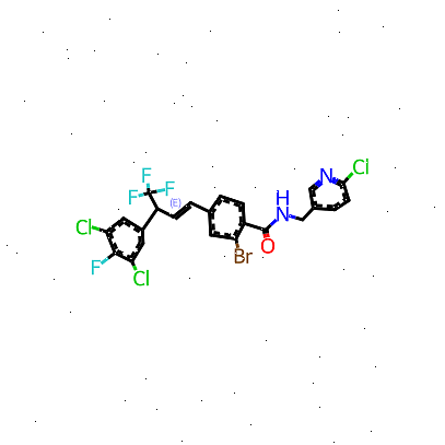 O=C(NCc1ccc(Cl)nc1)c1ccc(/C=C/C(c2cc(Cl)c(F)c(Cl)c2)C(F)(F)F)cc1Br